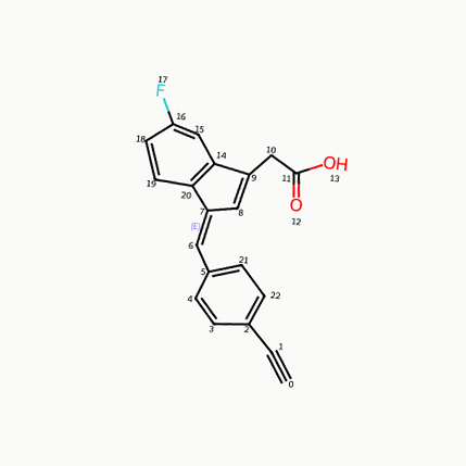 C#Cc1ccc(/C=C2\C=C(CC(=O)O)c3cc(F)ccc32)cc1